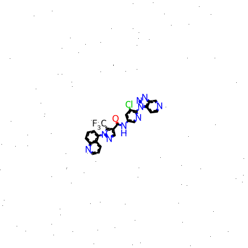 O=C(Nc1cnc(-n2nnc3cnccc32)c(Cl)c1)c1cnn(-c2cccc3ncccc23)c1C(F)(F)F